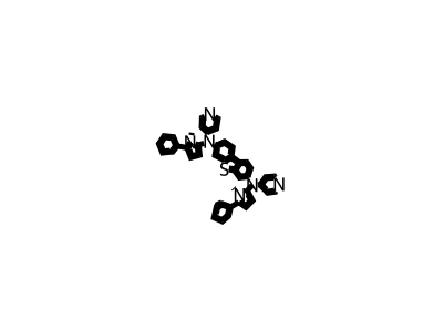 Cn1c(-c2c#cccc2)ccc1N(c1ccncc1)c1ccc2c(c1)sc1cc(N(c3ccncc3)c3ccc(-c4ccccc4)n3C)ccc12